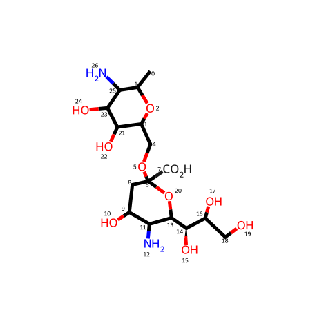 CC1OC(COC2(C(=O)O)CC(O)C(N)C([C@H](O)C(O)CO)O2)C(O)C(O)C1N